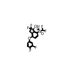 O=S(=O)(c1ccc(Oc2ccc(F)c(F)c2)c2c1[C@H](O)C(F)(F)C2)C(F)F